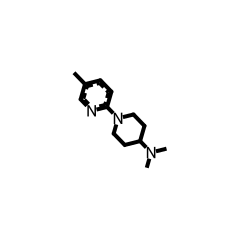 Cc1ccc(N2CCC(N(C)C)CC2)nc1